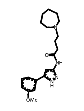 COc1cccc(-c2cc(NC(=O)CCCN3CCCCCC3)n[nH]2)c1